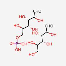 O=C[C@@H](O)[C@@H](O)[C@H](O)[C@H](O)CO.O=C[C@@H](O)[C@@H](O)[C@H](O)[C@H](O)COP(=O)(O)O